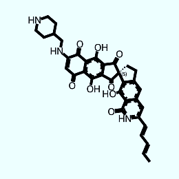 CC=CC=Cc1cc2cc3c(c(O)c2c(=O)[nH]1)[C@@]1(CC3)C(=O)c2c(O)c3c(c(O)c2C1=O)C(=O)C(NCC1CCNCC1)=CC3=O